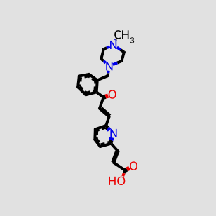 CN1CCN(Cc2ccccc2C(=O)C=Cc2cccc(C=CC(=O)O)n2)CC1